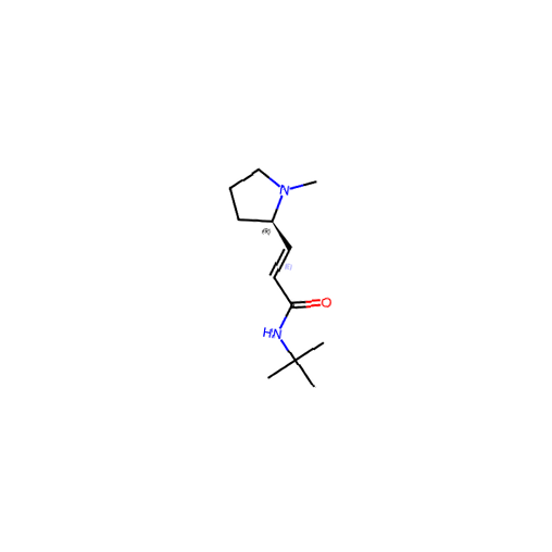 CN1CCC[C@@H]1/C=C/C(=O)NC(C)(C)C